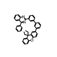 CCC1(CC)c2ccccc2Oc2ccc(-c3cccc(-c4cccc(-c5nc(-c6ccccc6)c6ccccc6n5)c4)c3)cc21